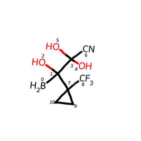 BC(O)(C(O)(O)C#N)C1(C(F)(F)F)CC1